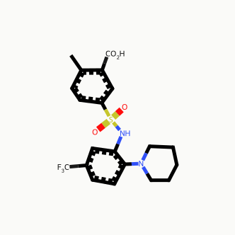 Cc1ccc(S(=O)(=O)Nc2cc(C(F)(F)F)ccc2N2CCCCC2)cc1C(=O)O